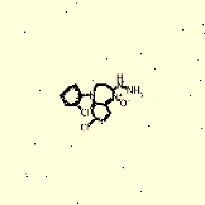 NNC1CCN(c2ccccc2Cl)C2=CC(Cl)C=CC2=[N+]1[O-]